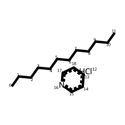 CCCCCCCCCCCC.Cl.c1ccncc1